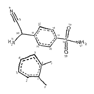 Cc1ccccc1C.N#CC(N)c1ccc(S(N)(=O)=O)cc1